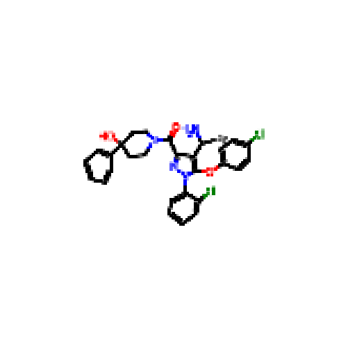 CC(C)C(N)c1c(C(=O)N2CCC(O)(c3ccccc3)CC2)nn(-c2ccccc2Cl)c1Oc1ccc(Cl)cc1